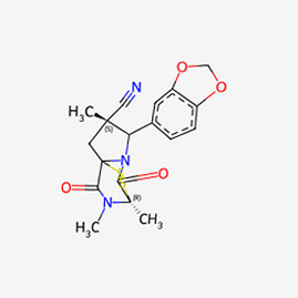 CN1C(=O)C23C[C@](C)(C#N)C(c4ccc5c(c4)OCO5)N2C(=O)[C@@]1(C)SS3